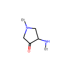 CCNC1CN(CC)CC1=O